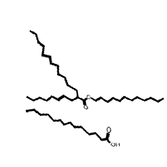 CCCCCCCCCCCCCC(=O)O.CCCCCCCCCCCCOC(=O)C(CCCCCCCC)CCCCCCCCCCCC